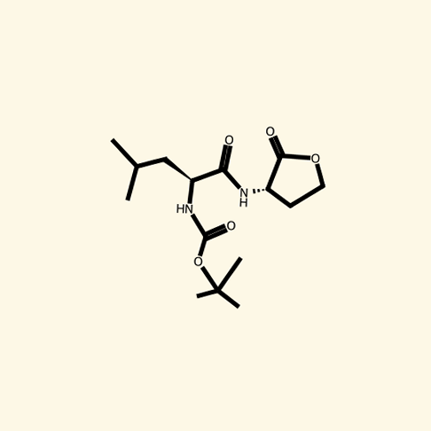 CC(C)C[C@H](NC(=O)OC(C)(C)C)C(=O)N[C@H]1CCOC1=O